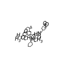 Cc1c(C(=O)NCC2CCS(=O)(=O)CC2)cc(-c2cc(C(C)(C)C)c3c(c2)C2(CCO3)CC2)n1CC1CCCCC1